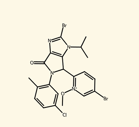 CO[n+]1cc(Br)ccc1C1c2c(nc(Br)n2C(C)C)C(=O)N1c1cc(Cl)ccc1C